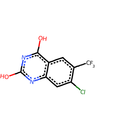 Oc1nc(O)c2cc(C(F)(F)F)c(Cl)cc2n1